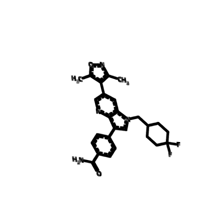 Cc1noc(C)c1-c1cnc2c(-c3ccc(C(N)=O)cc3)cn(CC3CCC(F)(F)CC3)c2c1